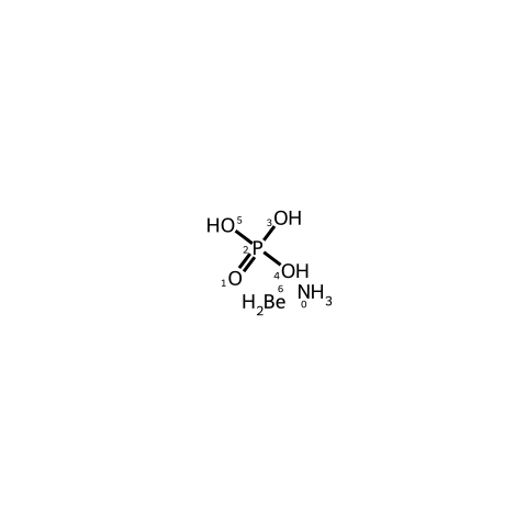 N.O=P(O)(O)O.[BeH2]